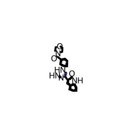 N=N/C(=C\Nc1cccc(C(=O)N2CCOCC2)c1)c1cc2ccccc2[nH]c1=O